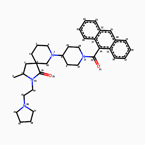 CC1CC2(CCCN(C3CCN(C(=O)c4c5ccccc5cc5ccccc45)CC3)C2)C(=O)N1CCN1CCCC1